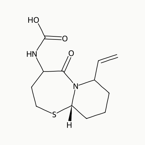 C=CC1CCC[C@@H]2SCCC(NC(=O)O)C(=O)N12